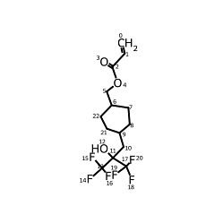 C=CC(=O)OCC1CCC(CC(O)(C(F)(F)F)C(F)(F)F)CC1